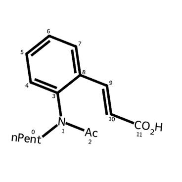 CCCCCN(C(C)=O)c1ccccc1/C=C/C(=O)O